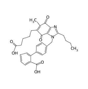 CCCCc1nc2c(n1Cc1ccc(-c3ccccc3C(=O)O)cc1)C(=O)C(CCCCC(=O)O)=C(C)C2=O